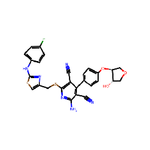 N#Cc1c(N)nc(SCc2csc(Nc3ccc(F)cc3)n2)c(C#N)c1-c1ccc(O[C@H]2COC[C@@H]2O)cc1